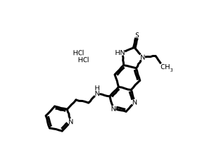 CCn1c(=S)[nH]c2cc3c(NCCc4ccccn4)ncnc3cc21.Cl.Cl